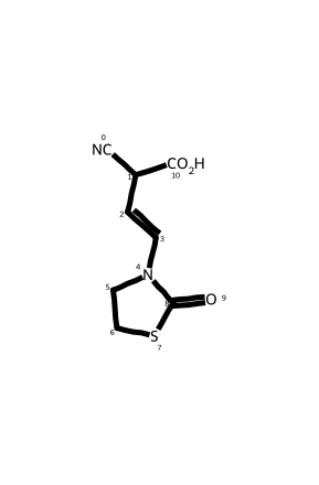 N#CC(C=CN1CCSC1=O)C(=O)O